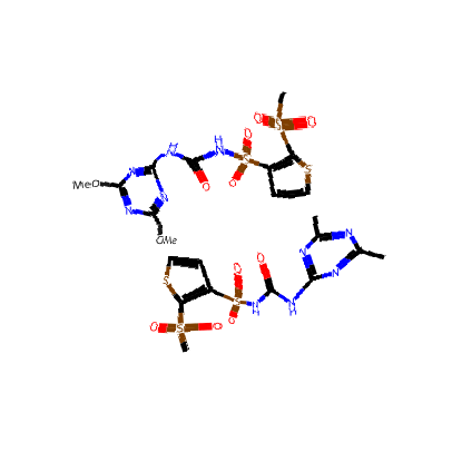 COc1nc(NC(=O)NS(=O)(=O)c2ccsc2S(C)(=O)=O)nc(OC)n1.Cc1nc(C)nc(NC(=O)NS(=O)(=O)c2ccsc2S(C)(=O)=O)n1